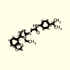 CCn1c(SCC(=O)Nc2ccc(C(C)C)cc2)nnc1-c1cccc2c1OCO2